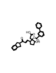 O=C(O)CC1(OC(=O)c2cccc(-c3ccccc3)c2)C(O)CCC1C=CC(=O)C1Cc2ccccc2C1